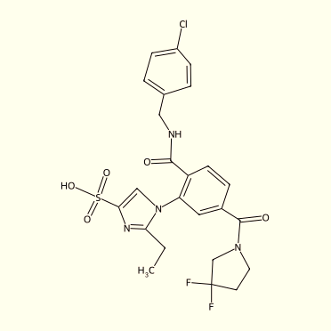 CCc1nc(S(=O)(=O)O)cn1-c1cc(C(=O)N2CCC(F)(F)C2)ccc1C(=O)NCc1ccc(Cl)cc1